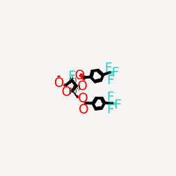 COC1O[C@H](COC(=O)c2ccc(C(F)(F)F)cc2)[C@@H](OC(=O)c2ccc(C(F)(F)F)cc2)[C@@H]1F